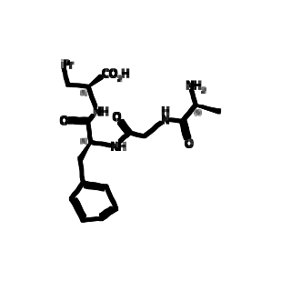 CC(C)C[C@H](NC(=O)[C@H](Cc1ccccc1)NC(=O)CNC(=O)[C@H](C)N)C(=O)O